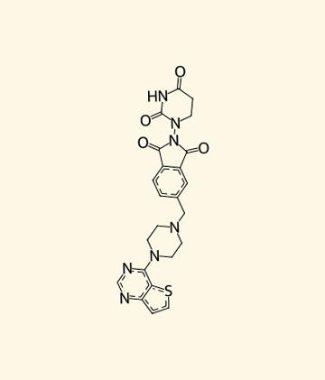 O=C1CCN(N2C(=O)c3ccc(CN4CCN(c5ncnc6ccsc56)CC4)cc3C2=O)C(=O)N1